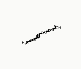 NCCOCCOCCN1CCN(CCOCCOCCOCCOCCC(=O)O)CC1